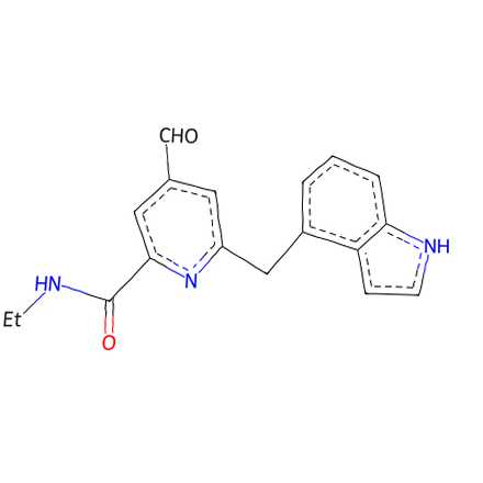 CCNC(=O)c1cc(C=O)cc(Cc2cccc3[nH]ccc23)n1